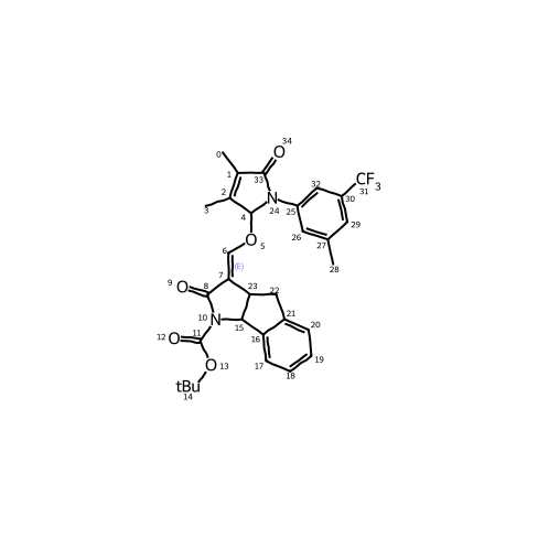 CC1=C(C)C(O/C=C2/C(=O)N(C(=O)OC(C)(C)C)C3c4ccccc4CC23)N(c2cc(C)cc(C(F)(F)F)c2)C1=O